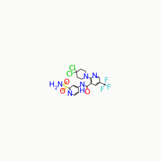 NS(=O)(=O)c1cc(NC(=O)c2cc(C(F)(F)F)cnc2N2CCC(Cl)(Cl)CC2)ccn1